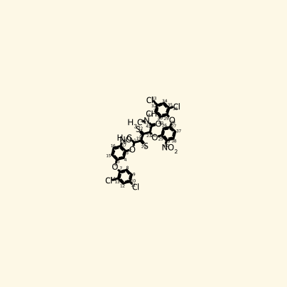 CC(Oc1cc(Oc2ccc(Cl)cc2Cl)ccc1[N+](=O)[O-])C(=S)C(=S)C(Oc1cc(Oc2ccc(Cl)cc2Cl)ccc1[N+](=O)[O-])C(=O)N(C)C